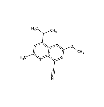 COc1cc(C#N)c2nc(C)cc(C(C)C)c2c1